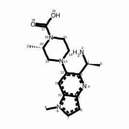 C[C@H](N)c1nc2ccn(C)c2cc1N1CCN(C(=O)O)[C@@H](C)C1